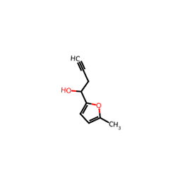 C#CCC(O)c1ccc(C)o1